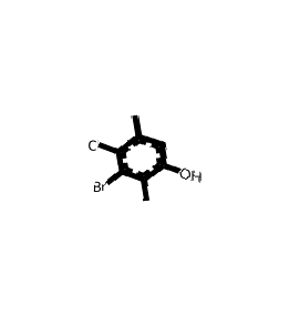 Cc1cc(O)c(C)c(Br)c1Cl